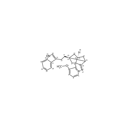 COc1cccnc1C12C[C@]3(CCc4c[nH]c5ccccc45)C[C@H]1CC3[N+]2=[N-]